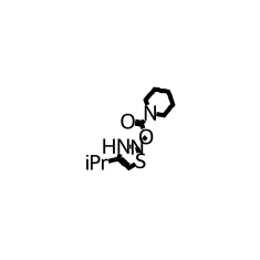 CC(C)C1=CSN(OC(=O)N2CCCCC2)N1